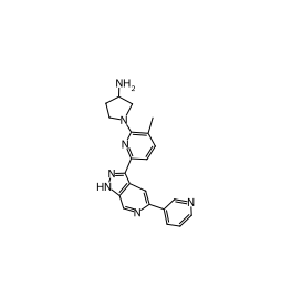 Cc1ccc(-c2n[nH]c3cnc(-c4cccnc4)cc23)nc1N1CCC(N)C1